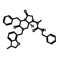 CC1COc2c(CN3C[C@H]4N(C(=O)CN4N(C)C(=O)NCc4ccccc4)C(Cc4ccccc4)C3=O)cccc21